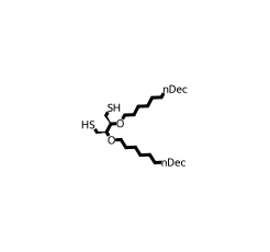 CCCCCCCCCCCCCCCCO[C@@H](CS)[C@@H](CS)OCCCCCCCCCCCCCCCC